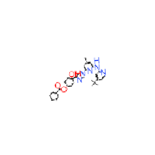 Cc1cc(Nc2cc(C(C)(C)C)ccn2)nc(-n2cnc(C3(O)CCC(OC(=O)c4ccccc4)CC3)c2)c1